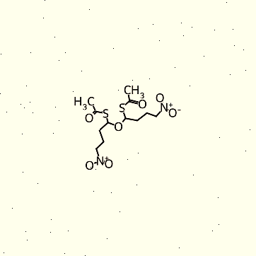 CC(=O)SC(CCC[N+](=O)[O-])OC(CCC[N+](=O)[O-])SC(C)=O